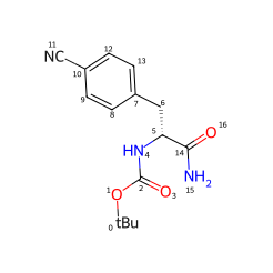 CC(C)(C)OC(=O)N[C@H](Cc1ccc(C#N)cc1)C(N)=O